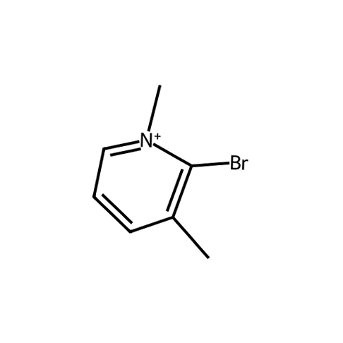 Cc1ccc[n+](C)c1Br